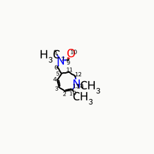 C/C1=C/C=CC(CN(C)C=O)CCN1C